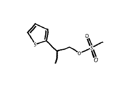 CC(COS(C)(=O)=O)c1cccs1